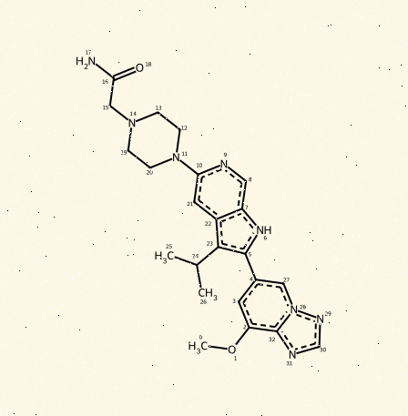 COc1cc(-c2[nH]c3cnc(N4CCN(CC(N)=O)CC4)cc3c2C(C)C)cn2ncnc12